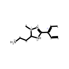 C=C/C(=C\C)C1=NN(C)C(CCN)N1